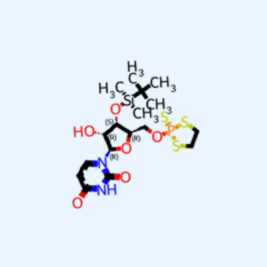 CC(C)(C)[Si](C)(C)O[C@H]1[C@@H](O)[C@H](n2ccc(=O)[nH]c2=O)O[C@@H]1COP1(=S)SCCS1